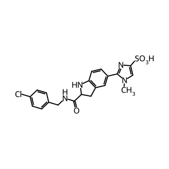 Cn1cc(S(=O)(=O)O)nc1-c1ccc2c(c1)CC(C(=O)NCc1ccc(Cl)cc1)N2